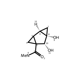 CNC(=O)C12CC1[C@H]1C[C@@]1(O)[C@@H]2O